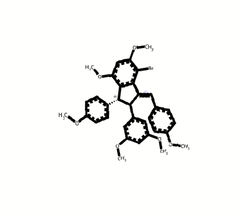 COc1ccc(/C=C2/c3c(Br)c(OC)cc(OC)c3[C@@H](c3ccc(OC)cc3)C2c2cc(OC)cc(OC)c2)cc1